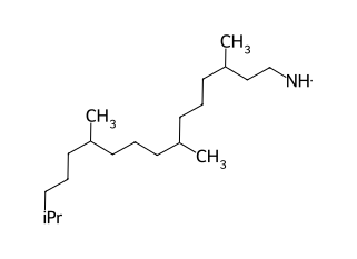 CC(C)CCCC(C)CCCC(C)CCCC(C)CC[NH]